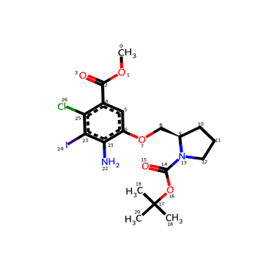 COC(=O)c1cc(OC[C@H]2CCCN2C(=O)OC(C)(C)C)c(N)c(I)c1Cl